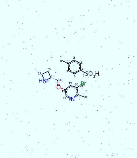 Cc1ccc(S(=O)(=O)O)cc1.Cc1ncc(OC[C@H]2CCN2)cc1Br